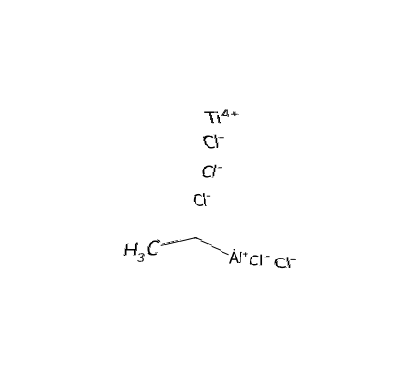 C[CH2][Al+].[Cl-].[Cl-].[Cl-].[Cl-].[Cl-].[Ti+4]